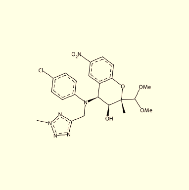 COC(OC)[C@@]1(C)Oc2ccc([N+](=O)[O-])cc2[C@H](N(Cc2nnn(C)n2)c2ccc(Cl)cc2)[C@@H]1O